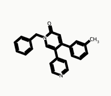 Cc1cccc(-c2cc(=O)n(Cc3ccccc3)cc2-c2ccncc2)c1